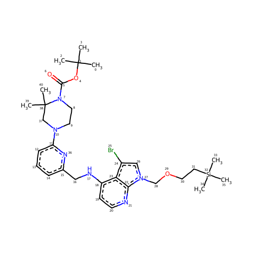 CC(C)(C)OC(=O)N1CCN(c2cccc(CNc3ccnc4c3c(Br)cn4COCC[Si](C)(C)C)n2)CC1(C)C